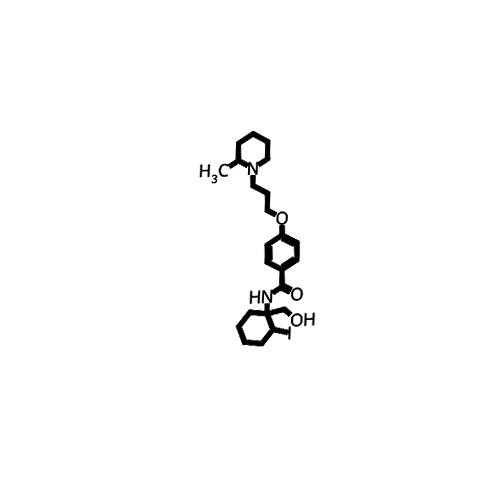 CC1CCCCN1CCCOc1ccc(C(=O)NC2(CO)CCCCC2I)cc1